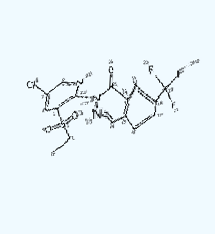 CCS(=O)(=O)c1cc(Cl)cnc1-n1ncc2ccc(C(F)(F)F)cc2c1=O